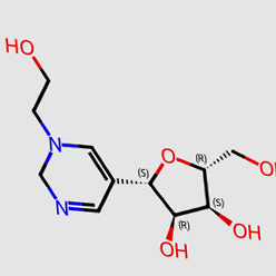 OCCN1C=C([C@@H]2O[C@H](CO)[C@@H](O)[C@H]2O)C=NC1